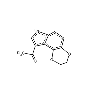 O=C(c1c[nH]c2ccc3c(c12)OCCO3)C(Cl)(Cl)Cl